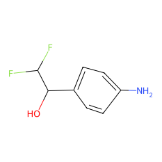 Nc1ccc(C(O)C(F)F)cc1